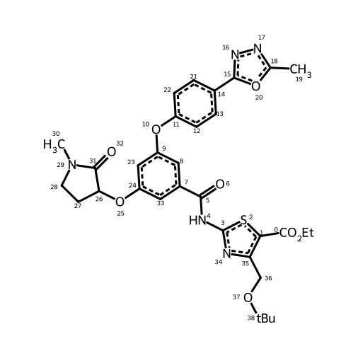 CCOC(=O)c1sc(NC(=O)c2cc(Oc3ccc(-c4nnc(C)o4)cc3)cc(OC3CCN(C)C3=O)c2)nc1COC(C)(C)C